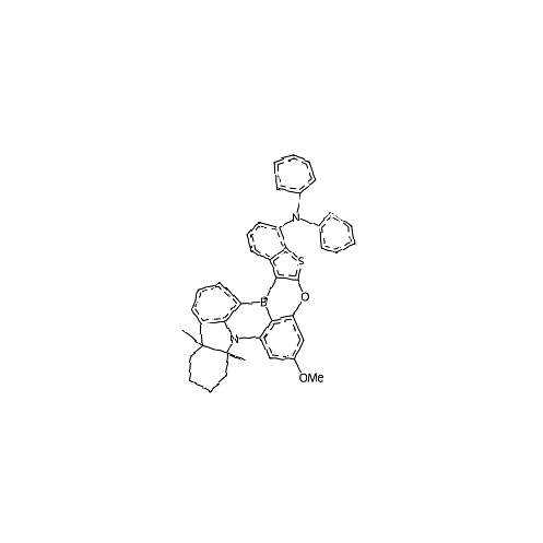 COc1cc2c3c(c1)N1c4c(cccc4C4(C)CCCCC14C)B3c1c(sc3c(N(c4ccccc4)c4ccccc4)cccc13)O2